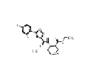 CCOC(=O)[C@H]1CNCC[C@@H]1NC(=O)c1cc(-c2ccc(F)cc2F)on1.Cl